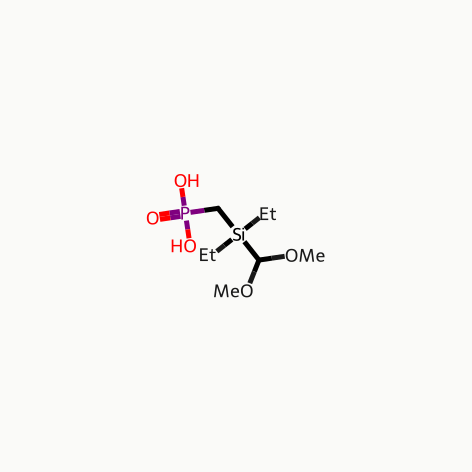 CC[Si](CC)(CP(=O)(O)O)C(OC)OC